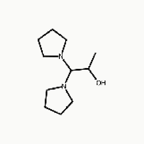 CC(O)C(N1CCCC1)N1CCCC1